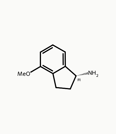 COc1cccc2c1CC[C@H]2N